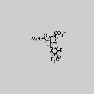 COC(=O)C[C@H]1CN(C(=O)O)CCN1Cc1ccc(OC(F)(F)F)c(F)c1